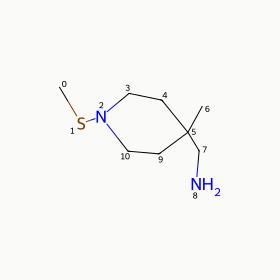 CSN1CCC(C)(CN)CC1